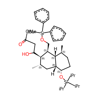 COC(=O)CC(O)[C@H]1[C@@H](CO[Si](c2ccccc2)(c2ccccc2)C(C)(C)C)[C@H]2[C@@H](C[C@@H]1C)[C@@H](O[Si](C(C)C)(C(C)C)C(C)C)CC[C@@H]2C